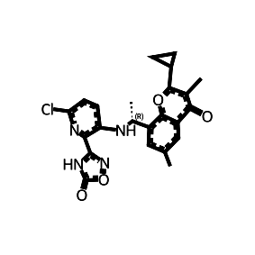 Cc1cc([C@@H](C)Nc2ccc(Cl)nc2-c2noc(=O)[nH]2)c2oc(C3CC3)c(C)c(=O)c2c1